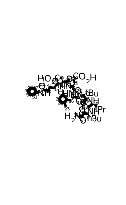 CCCC[C@H](NC(=O)[C@H](CC(C)C)NC(=O)[C@@H](NC(=O)[C@H](Cc1ccccc1C)NC(=O)[C@H](CCC(=O)O)NC(=O)[C@H](CC(=O)O)NC(=O)CCCC(=O)Nc1ccccc1)C(C)(C)C)C(=O)C(N)=O